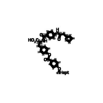 CCCCCCCOc1ccc(C(=O)Oc2ccc(C[C@H](NC(=O)c3ccc(NC(=O)Cc4cccs4)cc3)C(=O)O)cc2)cc1